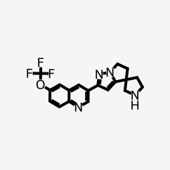 FC(F)(F)Oc1ccc2ncc(-c3cc4n(n3)CCC43CCNC3)cc2c1